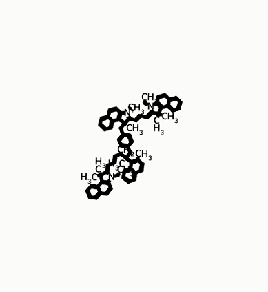 C=C(C=CC=C1N(CC)c2ccc3ccccc3c2C1(C)C)C(C)(Cc1ccc(CC2(C)C(C=CC=C3N(CC)c4ccc5ccccc5c4C3(C)C)=[N+](C)c3ccc4ccccc4c32)cc1)c1c(C)ccc2ccccc12